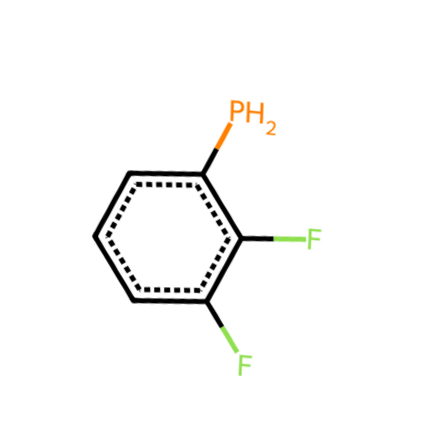 Fc1cccc(P)c1F